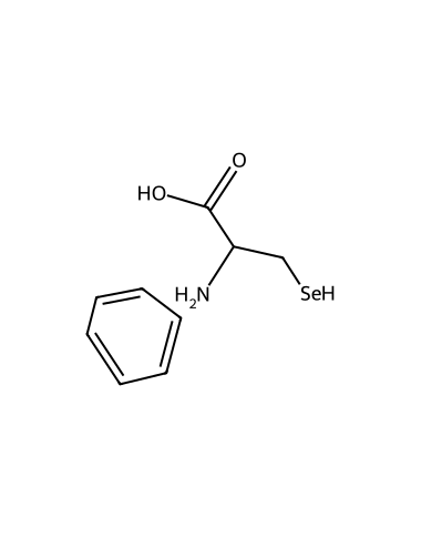 NC(C[SeH])C(=O)O.c1ccccc1